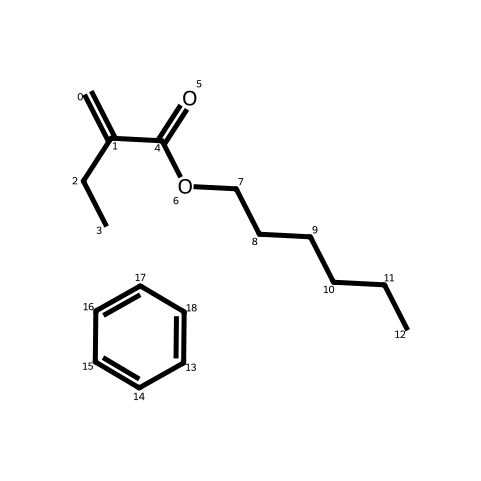 C=C(CC)C(=O)OCCCCCC.c1ccccc1